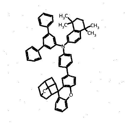 CC1(C)CCC(C)(C)c2cc(N(c3ccc(-c4ccc5c(c4)C4(c6ccccc6O5)C5CC6CC7CC4C75C6)cc3)c3cc(-c4ccccc4)cc(-c4ccccc4)c3)ccc21